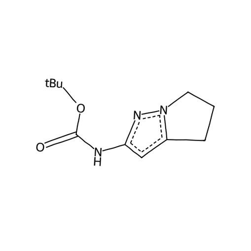 CC(C)(C)OC(=O)Nc1cc2n(n1)CCC2